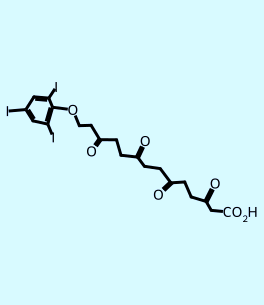 O=C(O)CC(=O)CCC(=O)CCC(=O)CCC(=O)CCOc1c(I)cc(I)cc1I